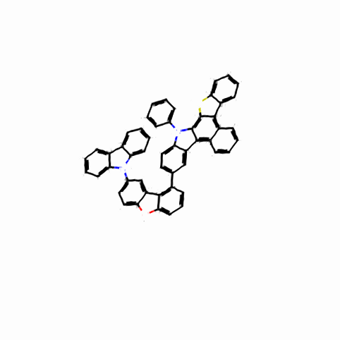 c1ccc(-n2c3ccc(-c4cccc5oc6ccc(-n7c8ccccc8c8ccccc87)cc6c45)cc3c3c4ccccc4c4c5ccccc5sc4c32)cc1